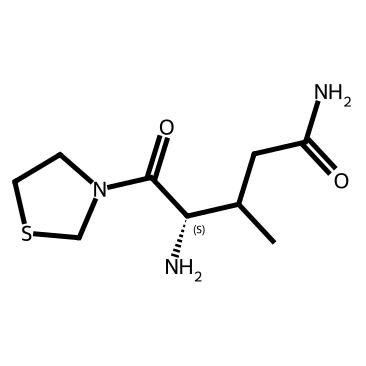 CC(CC(N)=O)[C@H](N)C(=O)N1CCSC1